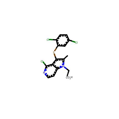 Cc1c(Sc2cc(Cl)ccc2Cl)c2c(Cl)nccc2n1CC(=O)O